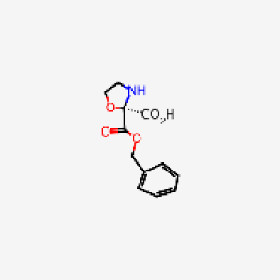 O=C(O)[C@@]1(C(=O)OCc2ccccc2)NCCO1